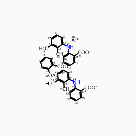 CC(=O)Oc1ccccc1C(=O)[O-].Cc1cccc(Nc2ccccc2C(=O)[O-])c1C.Cc1cccc(Nc2ccccc2C(=O)[O-])c1C.[Al+3]